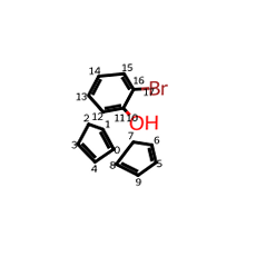 C1=CCC=C1.C1=CCC=C1.Oc1ccccc1Br